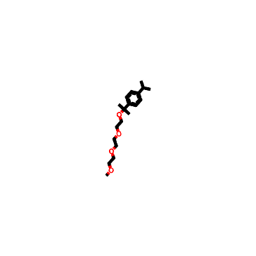 COCCOCCOCCOC(C)(C)c1ccc(C(C)C)cc1